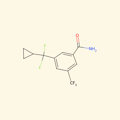 NC(=O)c1cc(C(F)(F)F)cc(C(F)(F)C2CC2)c1